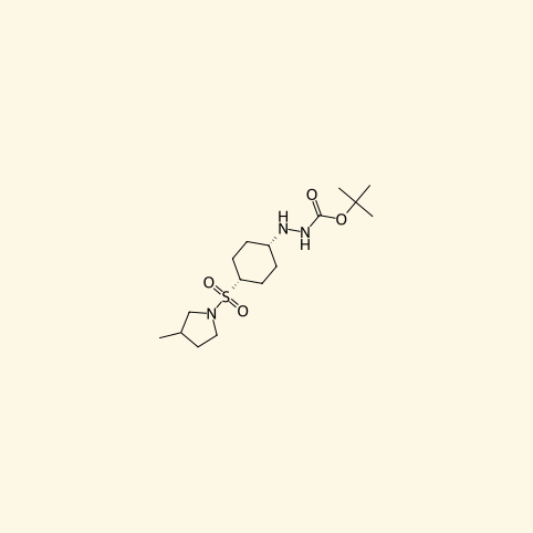 CC1CCN(S(=O)(=O)[C@H]2CC[C@@H](NNC(=O)OC(C)(C)C)CC2)C1